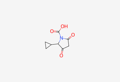 O=C1CC(=O)N(C(=O)O)C1C1CC1